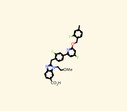 COCCn1c(Cc2ccc(-c3cc(F)cc(OCc4ccc(C)cc4F)n3)cc2F)nc2ccc(C(=O)O)cc21